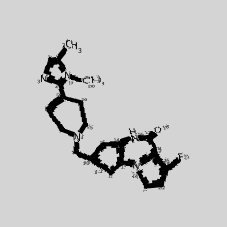 Cc1cnc(C2=CCN(Cc3ccc4c(c3)[nH]c(=O)c3c(F)ccn34)CC2)n1C